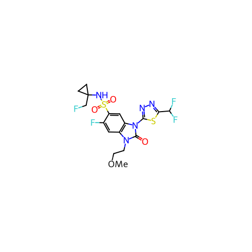 COCCn1c(=O)n(-c2nnc(C(F)F)s2)c2cc(S(=O)(=O)NC3(CF)CC3)c(F)cc21